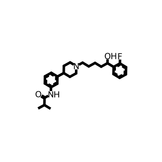 CC(C)C(=O)Nc1cccc(C2CCN(CCCCC(O)c3ccccc3F)CC2)c1